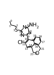 CCCSc1nc(N)nc(-c2c(Cl)cc3c4c(cccc24)COC3)n1